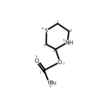 CC(C)(C)C(=O)OC1CSCCN1